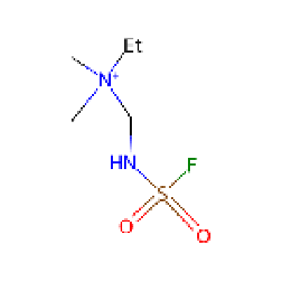 CC[N+](C)(C)CNS(=O)(=O)F